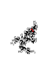 COCCOC1C(OP(O)(=S)OCC23COC(C(n4cc(C)c(N)nc4=O)O2)C3OP(O)(=S)OCC23COC(C(n4cnc5c(N)ncnc54)O2)C3O)C(COP(O)(=S)OC2C(COP(O)(=S)OC3CC(n4cnc5c(N)ncnc54)OC3CO)OC(n3cnc4c(=O)[nH]c(N)nc43)C2OCCOC)OC1n1cc(C)c(=O)[nH]c1=O